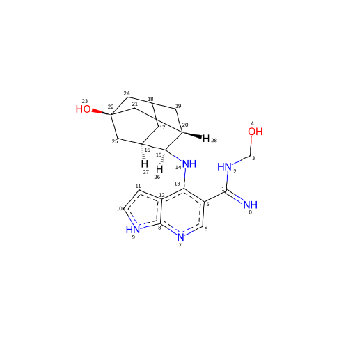 N=C(NCO)c1cnc2[nH]ccc2c1N[C@H]1[C@@H]2CC3C[C@H]1C[C@@](O)(C3)C2